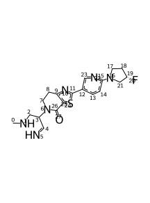 CNCC(C=N)N1CCc2nc(-c3ccc(N4CC[C@H](F)C4)nc3)sc2C1=O